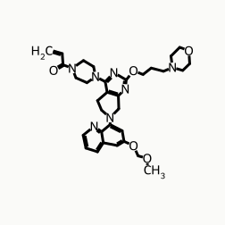 C=CC(=O)N1CCN(c2nc(OCCCN3CCOCC3)nc3c2CCN(c2cc(OCOC)cc4cccnc24)C3)CC1